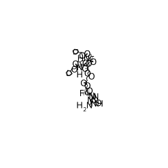 CC(C)[C@H](NC(=O)OCc1ccccc1)C(=O)OCC(COC(=O)CCC(=O)OC[C@H]1O[C@@H](n2cnc3c(=O)[nH]c(N)nc32)C[C@@H]1F)OC(=O)[C@@H](NC(=O)OCc1ccccc1)C(C)C